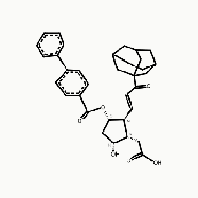 O=C(O)C[C@H]1[C@H](C=CC(=O)C23CC4CC(CC(C4)C2)C3)[C@@H](OC(=O)c2ccc(-c3ccccc3)cc2)C[C@H]1O